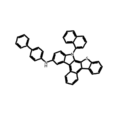 c1ccc(-c2ccc(Nc3ccc4c(c3)c3c5ccccc5c5c6ccccc6sc5c3n4-c3cccc4ccccc34)cc2)cc1